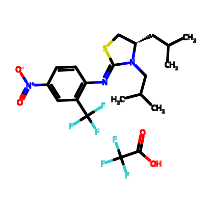 CC(C)C[C@H]1CSC(=Nc2ccc([N+](=O)[O-])cc2C(F)(F)F)N1CC(C)C.O=C(O)C(F)(F)F